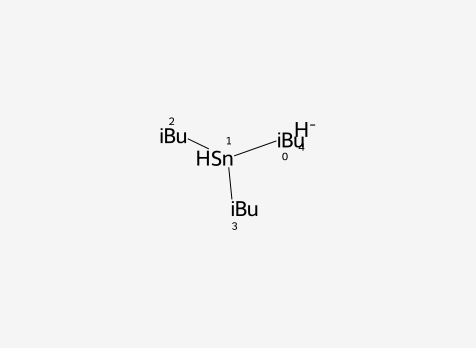 CC[CH](C)[SnH]([CH](C)CC)[CH](C)CC.[H-]